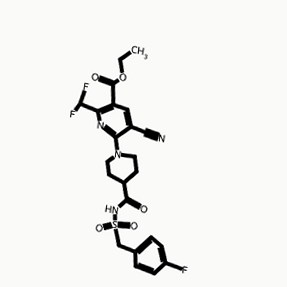 CCOC(=O)c1cc(C#N)c(N2CCC(C(=O)NS(=O)(=O)Cc3ccc(F)cc3)CC2)nc1C(F)F